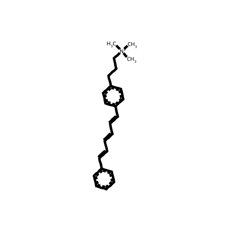 C[N+](C)(C)CCCc1ccc(C=CC=CC=Cc2ccccc2)cc1